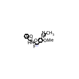 COc1cc(/C=C(/F)C(=O)N[C@@H](CO)Cc2ccccc2)ccc1-n1cnc(C)c1